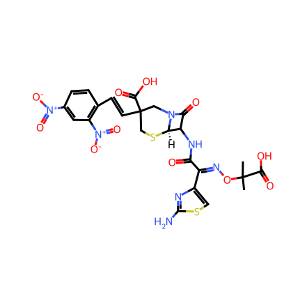 CC(C)(ON=C(C(=O)NC1C(=O)N2CC(C=Cc3ccc([N+](=O)[O-])cc3[N+](=O)[O-])(C(=O)O)CS[C@H]12)c1csc(N)n1)C(=O)O